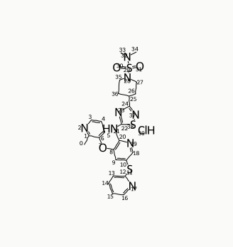 Cc1ncccc1Oc1cc(Sc2ccccn2)cnc1Nc1nc(C2CCN(S(=O)(=O)N(C)C)CC2)ns1.Cl